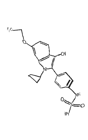 CC(C)S(=O)(=O)Nc1ccc(-c2c(C#N)c3ccc(OCC(F)(F)F)cc3n2C2CC2)cc1